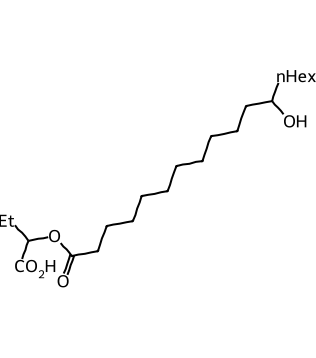 CCCCCCC(O)CCCCCCCCCCC(=O)OC(CC)C(=O)O